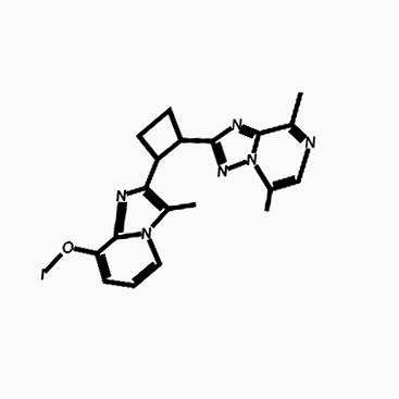 Cc1ncc(C)n2nc(C3CCC3c3nc4c(OI)cccn4c3C)nc12